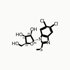 CSc1nc2cc(Cl)c(Cl)cc2n1[C@@H]1O[C@@H](CO)[C@@H](O)[C@H]1O